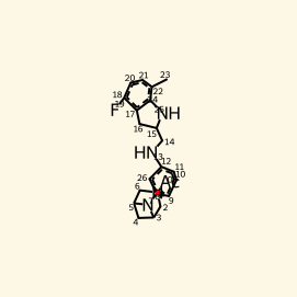 CC(=O)N1CC2CC(C1)N2c1cccc(NCC2Cc3c(F)ccc(C)c3N2)c1